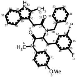 COc1ccc(N(C)C(=O)C(Cc2cc(F)cc(F)c2)N(Cc2ccccc2)C(=O)Cc2c(C)[nH]c3ccccc23)cc1